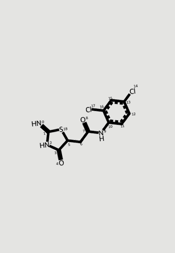 N=C1NC(=O)C(CC(=O)Nc2ccc(Cl)cc2Cl)S1